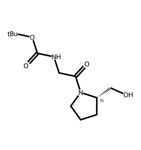 CC(C)(C)OC(=O)NCC(=O)N1CCC[C@H]1CO